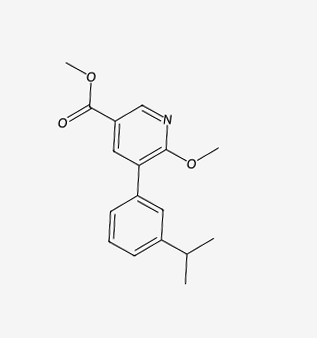 COC(=O)c1cnc(OC)c(-c2cccc(C(C)C)c2)c1